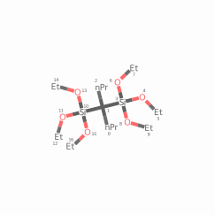 CCCC(CCC)([Si](OCC)(OCC)OCC)[Si](OCC)(OCC)OCC